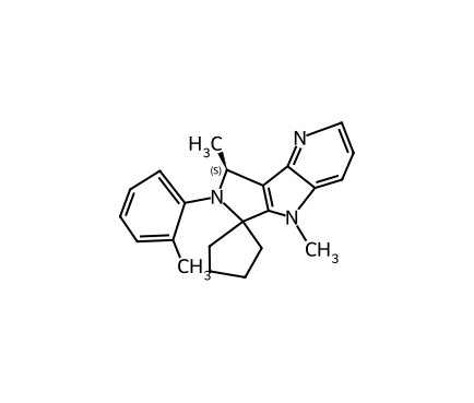 Cc1ccccc1N1[C@@H](C)c2c(n(C)c3cccnc23)C12CCCC2